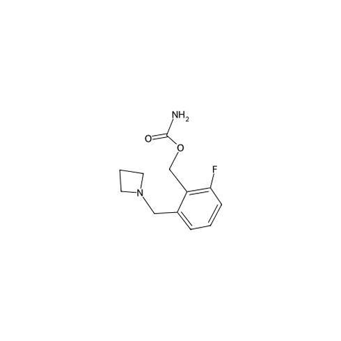 NC(=O)OCc1c(F)cccc1CN1CCC1